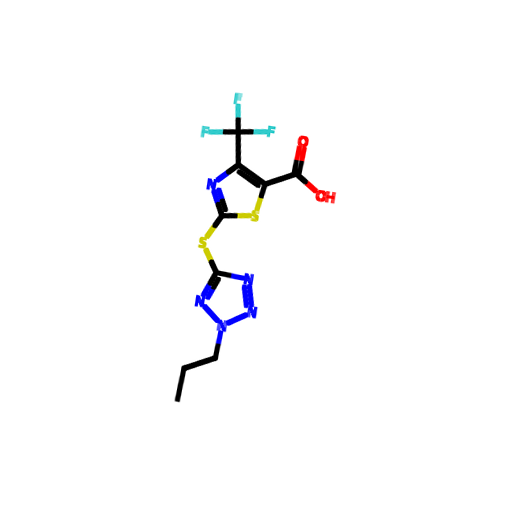 CCCn1nnc(Sc2nc(C(F)(F)F)c(C(=O)O)s2)n1